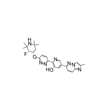 Cc1cn2nc(-c3cnc(-c4ccc(O[C@H]5CC(C)(C)NC(C)(C)[C@H]5F)nn4)c(O)c3)ccc2n1